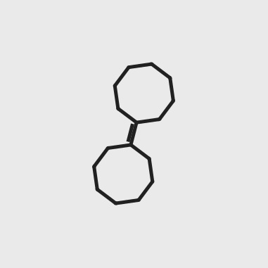 C1CCCC(=C2CCCCCCC2)CCC1